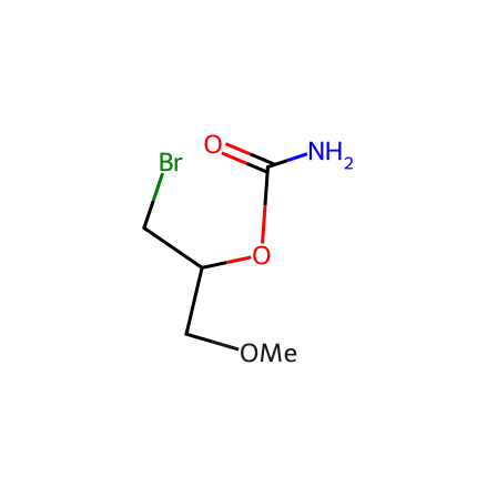 COCC(CBr)OC(N)=O